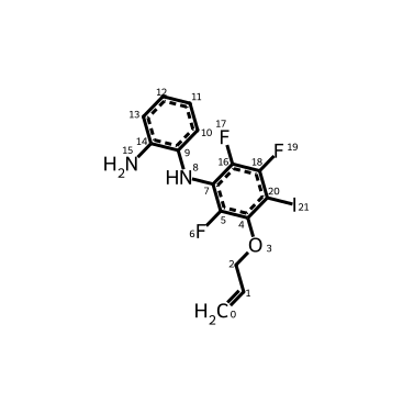 C=CCOc1c(F)c(Nc2ccccc2N)c(F)c(F)c1I